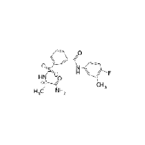 Cc1cc(NC(=O)c2cccc(S(=O)(=O)N[C@@H](C)C(N)=O)c2)ccc1F